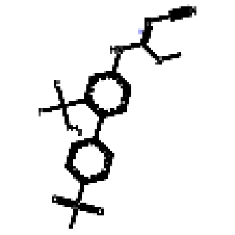 CS/C(=N\C#N)Nc1ccc(-c2ccc(S(C)(=O)=O)cc2)c(C(F)(F)P)c1